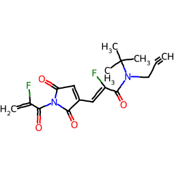 C#CCN(C(=O)/C(F)=C/C1=CC(=O)N(C(=O)C(=C)F)C1=O)C(C)(C)C